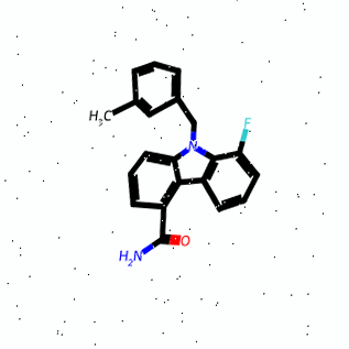 Cc1cccc(Cn2c3cccc(C(N)=O)c3c3[c]ccc(F)c32)c1